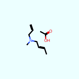 C=CCN(C)CC=CC.CC(=O)O